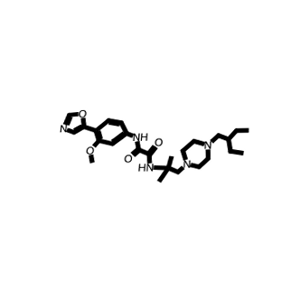 CCC(CC)CN1CCN(CC(C)(C)NC(=O)C(=O)Nc2ccc(-c3cnco3)c(OC)c2)CC1